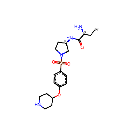 CC(C)C[C@H](N)C(=O)N[C@@H]1CCN(S(=O)(=O)c2ccc(OC3CCNCC3)cc2)C1